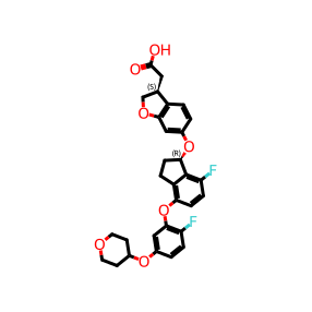 O=C(O)C[C@@H]1COc2cc(O[C@@H]3CCc4c(Oc5cc(OC6CCOCC6)ccc5F)ccc(F)c43)ccc21